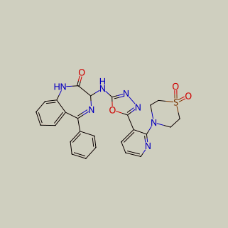 O=C1Nc2ccccc2C(c2ccccc2)=NC1Nc1nnc(-c2cccnc2N2CCS(=O)(=O)CC2)o1